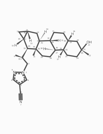 C[C@H](Cn1cc(C#N)cn1)[C@H]1[C@@H]2C[C@@H]2C[C@H]2[C@@H]3CC[C@@H]4C[C@](C)(O)CC[C@@H]4[C@H]3CC[C@]12C